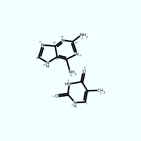 Cc1c[nH]c(=O)[nH]c1=O.Nc1nc(N)c2[nH]cnc2n1